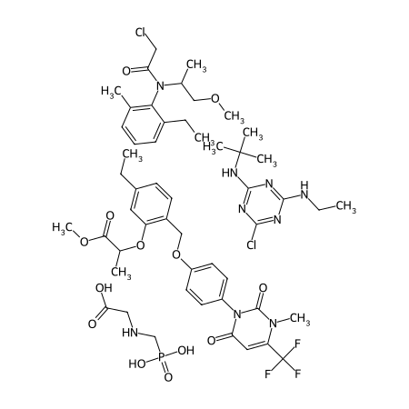 CCNc1nc(Cl)nc(NC(C)(C)C)n1.CCc1ccc(COc2ccc(-n3c(=O)cc(C(F)(F)F)n(C)c3=O)cc2)c(OC(C)C(=O)OC)c1.CCc1cccc(C)c1N(C(=O)CCl)C(C)COC.O=C(O)CNCP(=O)(O)O